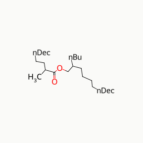 CCCCCCCCCCCCCCC(CCCC)COC(=O)C(C)CCCCCCCCCCCC